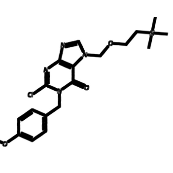 COc1ccc(Cn2c(Cl)nc3ncn(COCC[Si](C)(C)C)c3c2=O)cc1